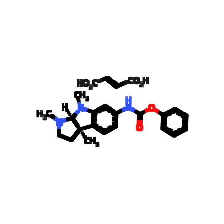 CN1CC[C@]2(C)c3ccc(NC(=O)Oc4ccccc4)cc3N(C)[C@H]12.O=C(O)/C=C/C(=O)O